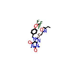 CCc1coc(CSc2nc3c(c(=O)n(C)c(=O)n3C)n2Cc2ccc(OC(F)(F)F)cc2)n1